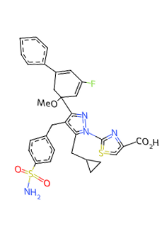 COC1(c2nn(-c3nc(C(=O)O)cs3)c(CC3CC3)c2Cc2ccc(S(N)(=O)=O)cc2)C=C(F)C=C(c2ccccc2)C1